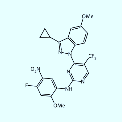 COc1ccc2c(c1)c(C1CC1)nn2-c1nc(Nc2cc([N+](=O)[O-])c(F)cc2OC)ncc1C(F)(F)F